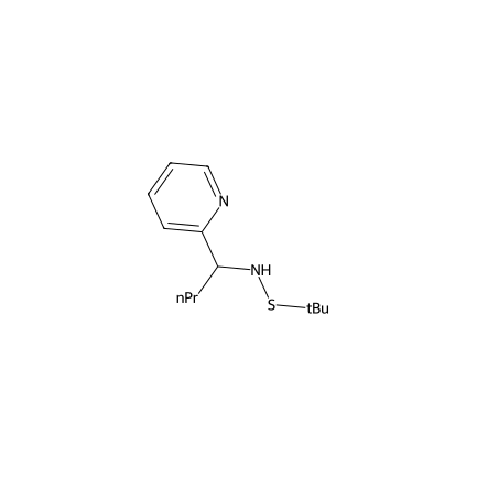 CCCC(NSC(C)(C)C)c1ccccn1